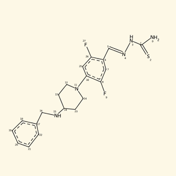 NC(=S)NN=Cc1cc(F)c(N2CCC(NCc3ccccc3)CC2)cc1F